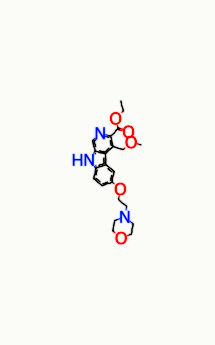 CCOC(=O)c1ncc2[nH]c3ccc(OCCN4CCOCC4)cc3c2c1COC